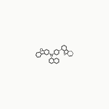 C1=Cc2sc3c(-c4ccc(N(c5ccc6oc7ccccc7c6c5)c5cccc6ccccc56)cc4)cccc3c2CC1